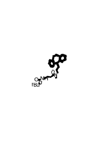 CN(CCC=C1c2ccccc2CCc2ccccc21)C(=O)CCCNC(=O)OC(C)(C)C